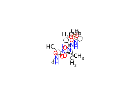 C#CCCC(NC(=O)[C@@H]1C2C(CN1C(=O)[C@@H](NC(=O)NC1(CS(=O)(=O)C(C)(C)CC)CCCCC1)C1CCCCC1)C2(C)C)C(=O)C(=O)NCC1CC1